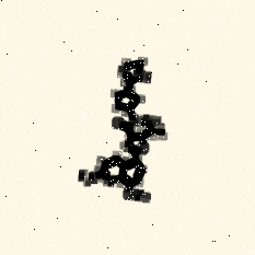 COc1ccc(-c2nc(C(=O)N[C@H]3CCN(C4=NCCN4)C3)c([C@H](C)N)o2)c2ccc(C(F)(F)F)nc12